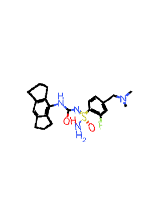 CN(C)Cc1ccc([S@@](N)(=O)=NC(O)Nc2c3c(cc4c2CCC4)CCC3)c(F)c1